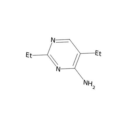 CCc1ncc(CC)c(N)n1